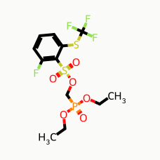 CCOP(=O)(COS(=O)(=O)c1c(F)cccc1SC(F)(F)F)OCC